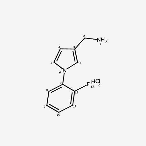 Cl.NCc1ccn(-c2ccccc2F)c1